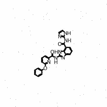 O=C(Nc1nc2cccc(C(=O)Nc3ncc[nH]3)c2[nH]1)c1cccc(Oc2ccccc2)n1